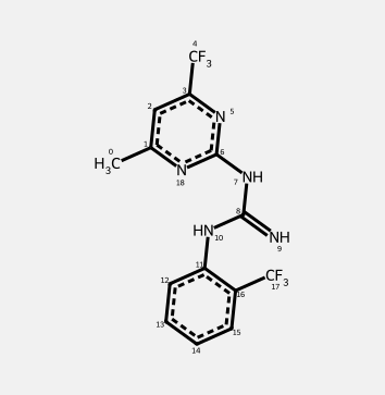 Cc1cc(C(F)(F)F)nc(NC(=N)Nc2ccccc2C(F)(F)F)n1